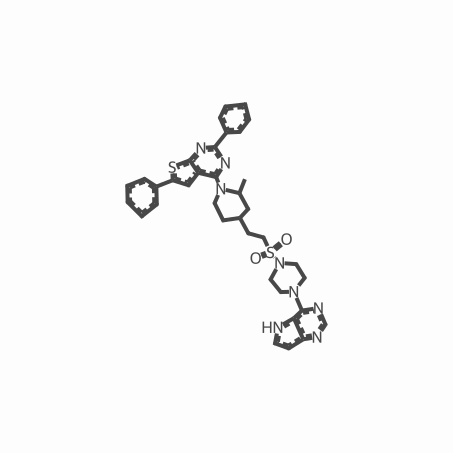 CC1CC(CCS(=O)(=O)N2CCN(c3ncnc4cc[nH]c34)CC2)CCN1c1nc(-c2ccccc2)nc2sc(-c3ccccc3)cc12